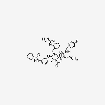 C=CCN(C(=O)NCc1ccc(F)cc1)N1CC(=O)N2[C@@H](Cc3ccc(NC(=O)c4ccccc4)cc3)C(=O)N(Cc3cccc4sc(N)nc34)C[C@@H]21